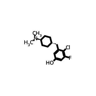 CN(C)[C@H]1CC[C@H](Cc2cc(O)cc(F)c2Cl)CC1